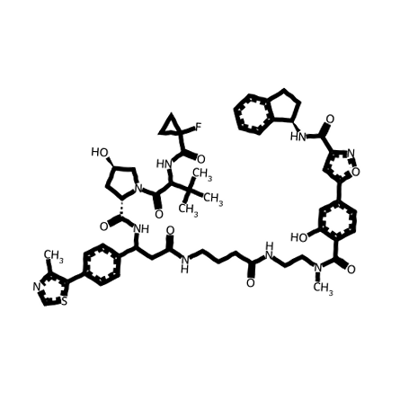 Cc1ncsc1-c1ccc(C(CC(=O)NCCCC(=O)NCCN(C)C(=O)c2ccc(-c3cc(C(=O)N[C@@H]4CCc5ccccc54)no3)cc2O)NC(=O)[C@@H]2C[C@@H](O)CN2C(=O)C(NC(=O)C2(F)CC2)C(C)(C)C)cc1